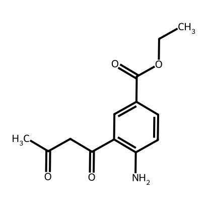 CCOC(=O)c1ccc(N)c(C(=O)CC(C)=O)c1